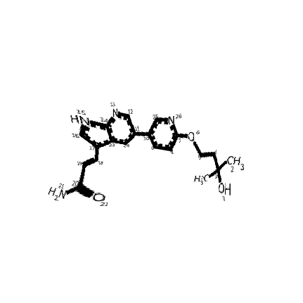 CC(C)(O)CCOc1ccc(-c2cnc3[nH]cc(C=CC(N)=O)c3c2)cn1